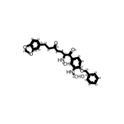 O=CNc1cc(C(=O)C(CCC(=O)CCc2ccc3c(c2)OCO3)NC=O)ccc1OCc1ccccc1